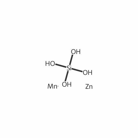 O[Si](O)(O)O.[Mn].[Zn]